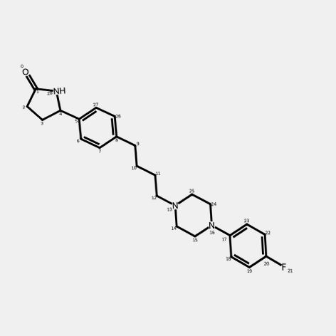 O=C1CCC(c2ccc(CCCCN3CCN(c4ccc(F)cc4)CC3)cc2)N1